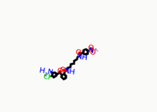 Nc1cc(C(=O)c2ccccc2C(=O)NCCCCCCCNC(=O)c2ccc([N+](=O)[O-])cc2)ccc1Cl